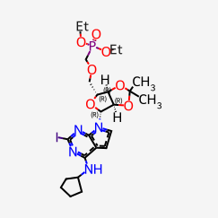 CCOP(=O)(COC[C@H]1O[C@@H](n2ccc3c(NC4CCCC4)nc(I)nc32)[C@@H]2OC(C)(C)O[C@@H]21)OCC